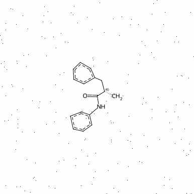 [CH2][C@@H](Cc1ccccc1)C(=O)Nc1ccccc1